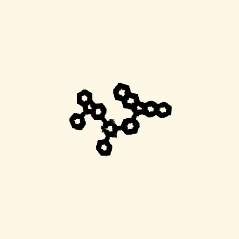 c1ccc(-c2nc(-c3cccc(-n4c5cc6ccccc6cc5c5cc6ccccc6cc54)c3)nc(-c3ccc4c5ccccc5n(-c5ccccc5)c4c3)n2)cc1